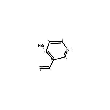 Br.C=Cc1cccnc1